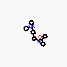 c1ccc(-n2c(-c3ccc(-c4cccc(-c5nc6ccccc6c6c5oc5ccccc56)c4)cc3)nc3ccccc32)cc1